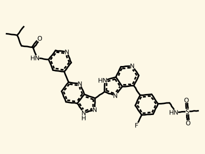 CC(C)CC(=O)Nc1cncc(-c2ccc3[nH]nc(-c4nc5c(-c6cc(F)cc(CNS(C)(=O)=O)c6)cncc5[nH]4)c3n2)c1